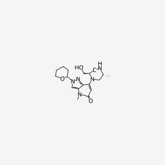 C[C@@H]1CN(c2cc(=O)n(C)c3cn(C4CCCCO4)nc23)[C@@H](CO)CN1